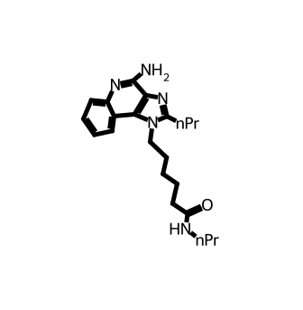 CCCNC(=O)CCCCCn1c(CCC)nc2c(N)nc3ccccc3c21